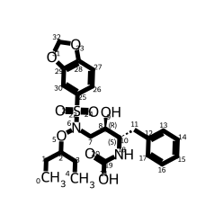 CCC(CC)ON(C[C@@H](O)[C@H](Cc1ccccc1)NC(=O)O)S(=O)(=O)c1ccc2c(c1)OCO2